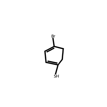 SC1=CC=C(Br)CC1